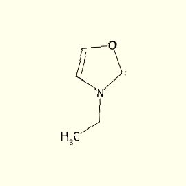 CCN1[C]OC=C1